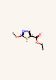 CCOC(=O)c1cnc(OC)s1